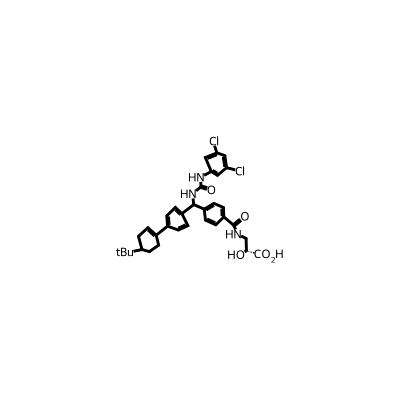 CC(C)(C)C1CC=C(c2ccc(C(NC(=O)Nc3cc(Cl)cc(Cl)c3)c3ccc(C(=O)NC[C@@H](O)C(=O)O)cc3)cc2)CC1